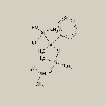 C[SiH](C)O[Si](C)(C)O[Si](C)(c1ccccc1)[Si](C)(C)O